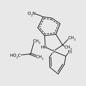 C=C(C)C(=O)O.CCC1C=CC=CS12Nc1cc([N+](=O)[O-])ccc1C2(C)C